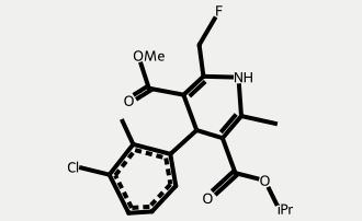 COC(=O)C1=C(CF)NC(C)=C(C(=O)OC(C)C)C1c1cccc(Cl)c1C